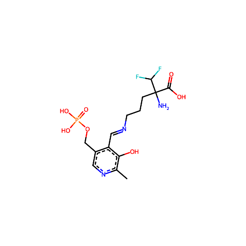 Cc1ncc(COP(=O)(O)O)c(C=NCCCC(N)(C(=O)O)C(F)F)c1O